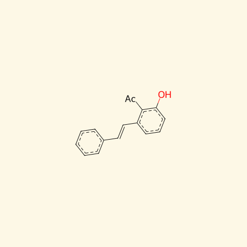 CC(=O)c1c(O)cccc1/C=C/c1ccccc1